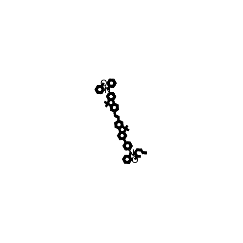 C=C/C=C\C1=C(C)Oc2ccccc2N1c1ccc(-c2ccc3c(c2)C(C)(C)c2cc(/C=C/c4ccc5c(c4)C(C)(C)c4cc(N6c7ccccc7Oc7ccccc76)ccc4-5)ccc2-3)cc1